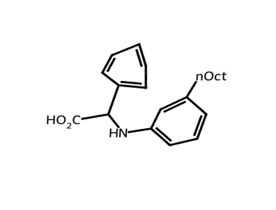 CCCCCCCCc1cccc(NC(C(=O)O)c2ccccc2)c1